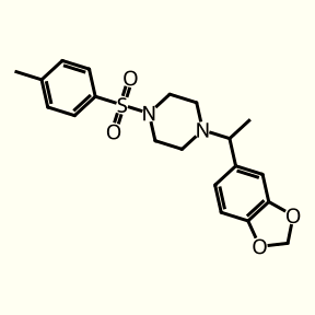 Cc1ccc(S(=O)(=O)N2CCN(C(C)c3ccc4c(c3)OCO4)CC2)cc1